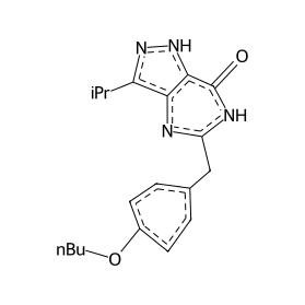 CCCCOc1ccc(Cc2nc3c(C(C)C)n[nH]c3c(=O)[nH]2)cc1